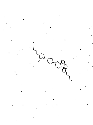 CCCCOC(=O)C1CCC(C2CCC([C@H]3CC[C@H](CCCC)CC3)CC2)CC1=O